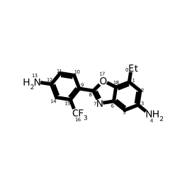 CCc1cc(N)cc2nc(-c3ccc(N)cc3C(F)(F)F)oc12